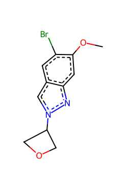 COc1cc2nn(C3COC3)cc2cc1Br